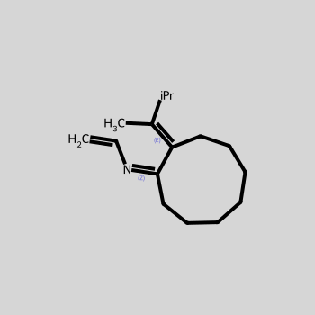 C=C/N=C1/CCCCCCC/C1=C(/C)C(C)C